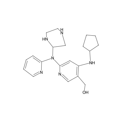 OCc1cnc(N(c2ccccn2)C2CNCCN2)cc1NC1CCCC1